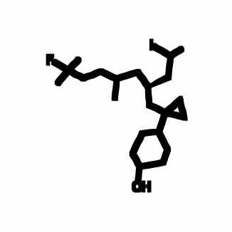 CC(I)C[C@H](CC(C)CCC(C)(C)F)CC1(C2CCC(O)CC2)CC1